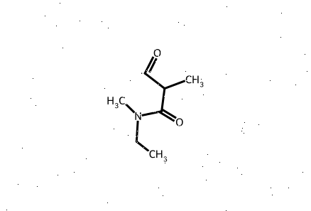 CCN(C)C(=O)C(C)[C]=O